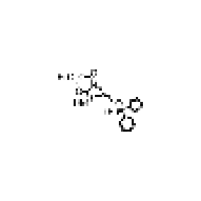 CCOC(=O)C(=O)N(CC(F)=CCO[Si](c1ccccc1)(c1ccccc1)C(C)(C)C)C(=O)OC(C)(C)C